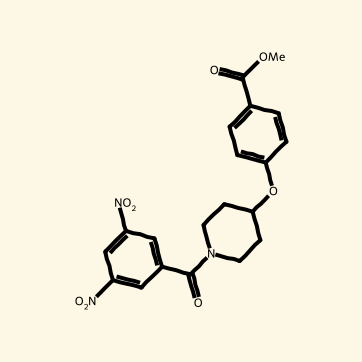 COC(=O)c1ccc(OC2CCN(C(=O)c3cc([N+](=O)[O-])cc([N+](=O)[O-])c3)CC2)cc1